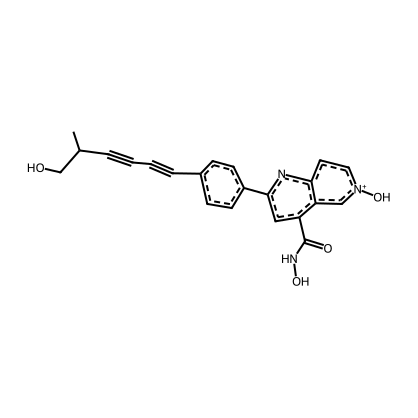 CC(C#CC#Cc1ccc(-c2cc(C(=O)NO)c3c[n+](O)ccc3n2)cc1)CO